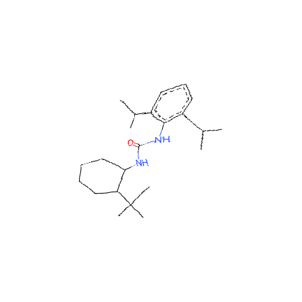 CC(C)c1cccc(C(C)C)c1NC(=O)NC1CCCCC1C(C)(C)C